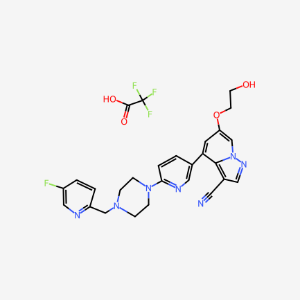 N#Cc1cnn2cc(OCCO)cc(-c3ccc(N4CCN(Cc5ccc(F)cn5)CC4)nc3)c12.O=C(O)C(F)(F)F